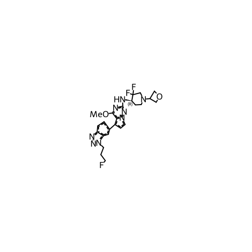 COc1nc(N[C@@H]2CCN(C3COC3)CC2(F)F)nn2ccc(-c3ccc4nnn(CCCF)c4c3)c12